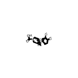 O=C(O)N1C=C[C@@]2(c3ccc(Cl)c(Cl)c3)C[C@@]2(C(=O)O)C1